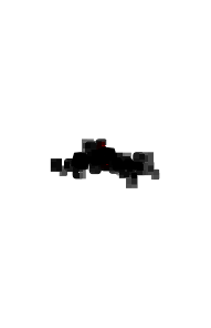 Cc1ccc(N2C(=O)[C@@H]3[C@H](C2=O)[C@@]2(C)C[C@@H](NC(=O)c4cc(C(C)O)[nH]n4)[C@]3(C)O2)cc1Cl